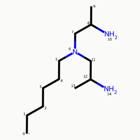 [CH2]CCCCCN(CC(C)N)CC(C)N